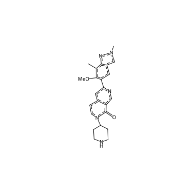 COc1c(-c2cc3ccn(C4CCNCC4)c(=O)c3cn2)cc2cn(C)nc2c1C